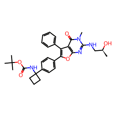 C[C@H](O)CNc1nc2oc(-c3ccc(C4(NC(=O)OC(C)(C)C)CCC4)cc3)c(-c3ccccc3)c2c(=O)n1C